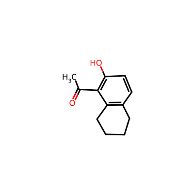 CC(=O)c1c(O)ccc2c1CCCC2